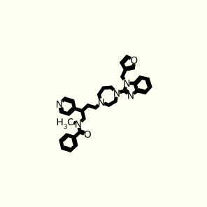 CN(CC(CCN1CCCN(c2nc3ccccc3n2Cc2ccoc2)CC1)c1ccncc1)C(=O)c1ccccc1